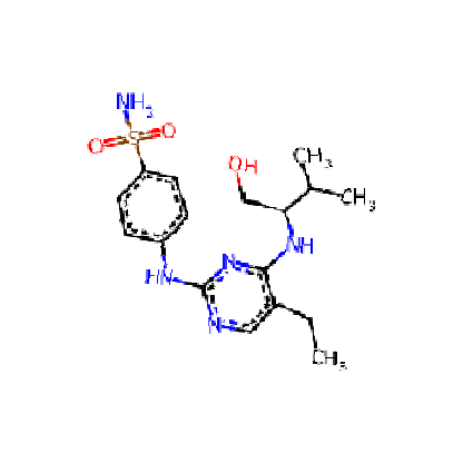 CCc1cnc(Nc2ccc(S(N)(=O)=O)cc2)nc1N[C@@H](CO)C(C)C